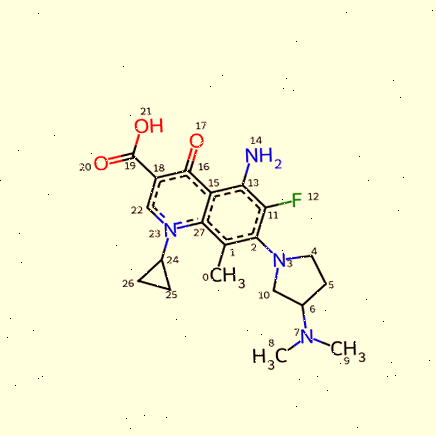 Cc1c(N2CCC(N(C)C)C2)c(F)c(N)c2c(=O)c(C(=O)O)cn(C3CC3)c12